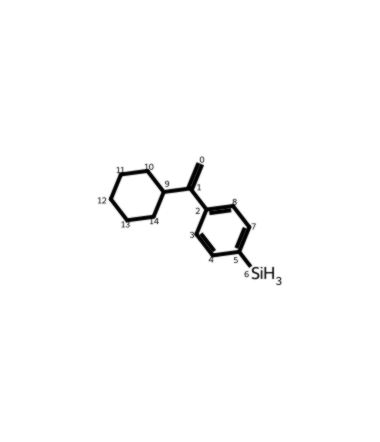 C=C(c1ccc([SiH3])cc1)C1CCCCC1